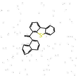 C=C(c1cccc2ccccc12)c1cccc2c1sc1ccccc12